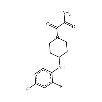 NC(=O)C(=O)N1CCC(Nc2ccc(F)cc2F)CC1